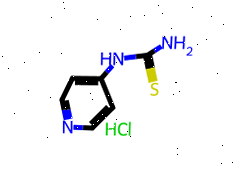 Cl.NC(=S)Nc1ccncc1